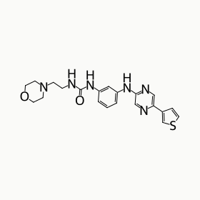 O=C(NCCN1CCOCC1)Nc1cccc(Nc2cnc(-c3ccsc3)cn2)c1